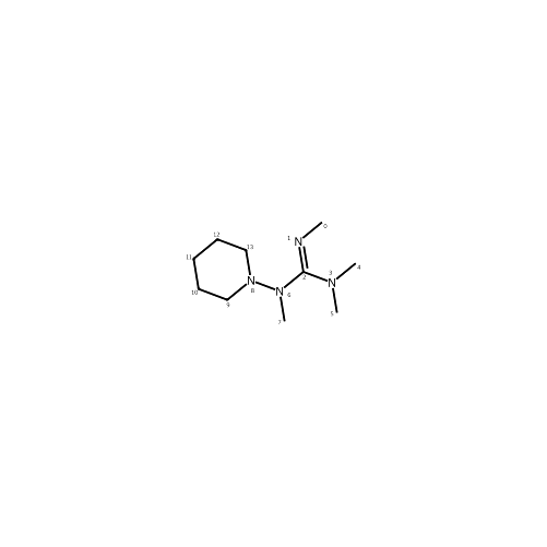 CN=C(N(C)C)N(C)N1CCCCC1